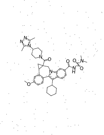 COc1ccc2c(c1)C1CC1(C(=O)N1CCC(n3c(C)nnc3C)CC1)Cn1c-2c(C2CCCCC2)c2ccc(C(=O)NS(=O)(=O)N(C)C)cc21